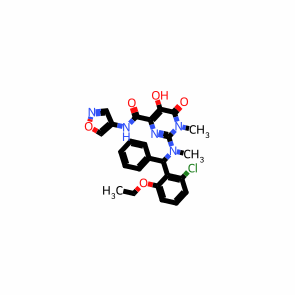 CCOc1cccc(Cl)c1C(c1ccccc1)N(C)c1nc(C(=O)Nc2cnoc2)c(O)c(=O)n1C